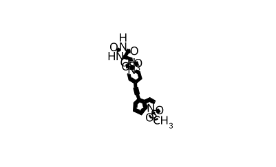 C[C@]1(CS(=O)(=O)N2CC=C(C#Cc3cccc4c3ccn4S(C)(=O)=O)CC2)NC(=O)NC1=O